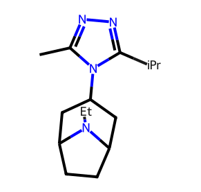 CCN1C2CCC1CC(n1c(C)nnc1C(C)C)C2